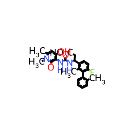 Cc1ccccc1-c1c(F)ccc(C(CC(=O)O)NC(=O)Nc2c(O)cc(C)n(C)c2=O)c1C